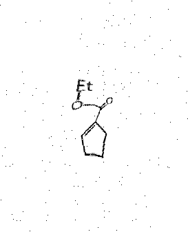 [CH2]COC(=O)C1=CCCC1